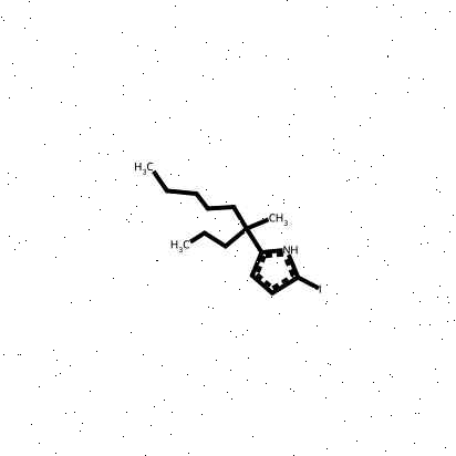 CCCCCC(C)(CCC)c1ccc(I)[nH]1